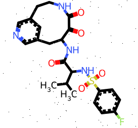 CC(C)C(NS(=O)(=O)c1ccc(F)cc1)C(=O)NC1Cc2cncc(c2)CCNC(=O)C1=O